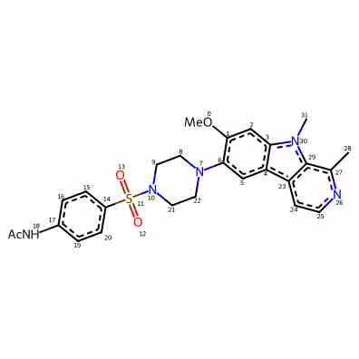 COc1cc2c(cc1N1CCN(S(=O)(=O)c3ccc(NC(C)=O)cc3)CC1)c1ccnc(C)c1n2C